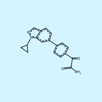 NC(=O)C(=O)c1ccc(-c2ccc3cnn(C4CC4)c3c2)cc1